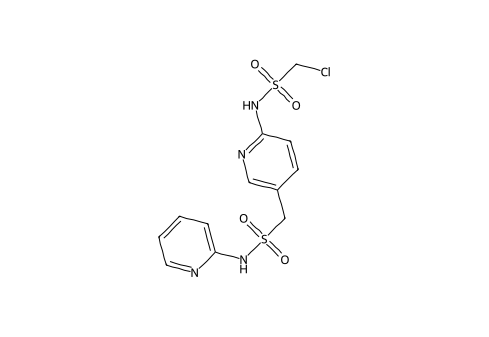 O=S(=O)(CCl)Nc1ccc(CS(=O)(=O)Nc2ccccn2)cn1